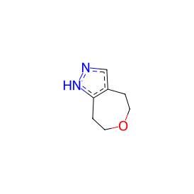 c1n[nH]c2c1CCOCC2